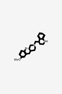 COc1ccc(Br)c(CC2CCN(CC3CCNc4ccccc43)CC2)c1